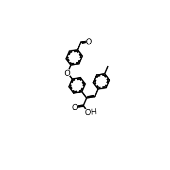 Cc1ccc(/C=C(/C(=O)O)c2ccc(Oc3ccc(C=O)cc3)cc2)cc1